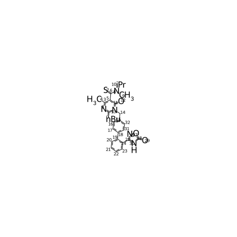 CCCCc1nc(C)c(C(=S)N(C)C(C)C)c(=O)n1Cc1ccc(-c2ccccc2-c2noc(=O)[nH]2)cc1